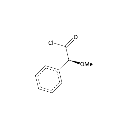 CO[C@H](C(=O)Cl)c1ccccc1